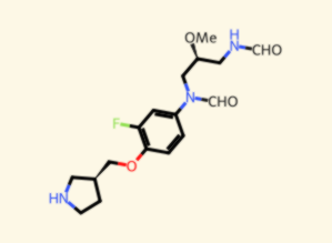 CO[C@@H](CNC=O)CN(C=O)c1ccc(OC[C@H]2CCNC2)c(F)c1